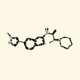 C=C(Nc1cc2cc(-c3cnn(C)c3)ccc2cn1)[C@H](C)N1CCCCC1